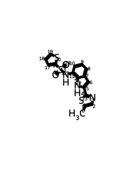 Cc1cnc(-c2cc3cccc(NS(=O)(=O)c4cccs4)c3[nH]2)s1